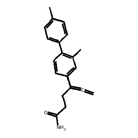 C=C=C(CCC(N)=O)c1ccc(-c2ccc(C)cc2)c(C)c1